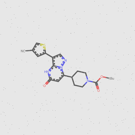 CC(C)(C)OC(=O)N1CCC(c2cc(=O)[nH]c3c(-c4cc(C#N)cs4)cnn23)CC1